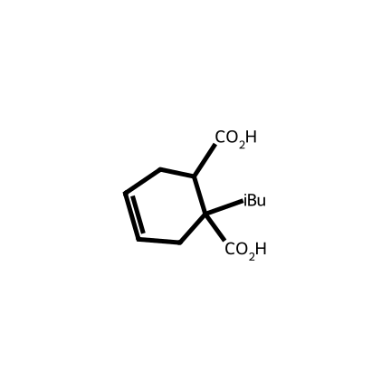 CCC(C)C1(C(=O)O)CC=CCC1C(=O)O